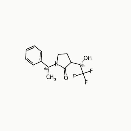 C[C@H](c1ccccc1)N1CCC([C@H](O)C(F)(F)F)C1=O